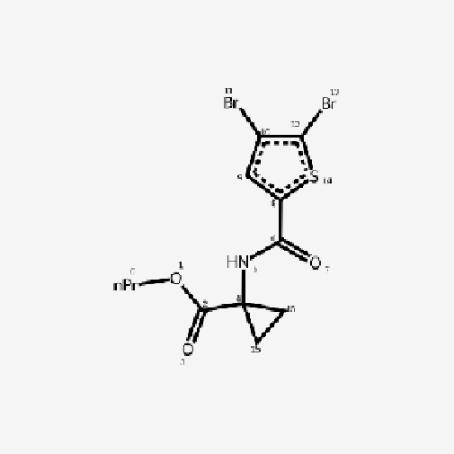 CCCOC(=O)C1(NC(=O)c2cc(Br)c(Br)s2)CC1